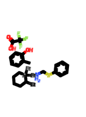 CCC1CCCC[Si]1(CC)CC.Cc1ccccc1O.NCSc1ccccc1.O=C(O)C(F)(F)F